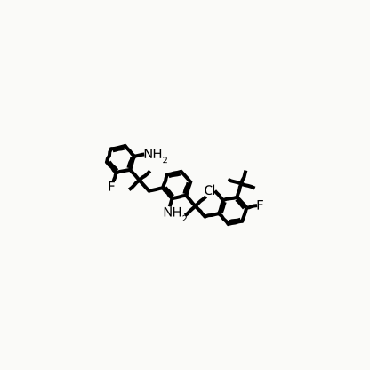 CC(C)(C)c1c(F)ccc(CC(C)(C)c2cccc(CC(C)(C)c3c(N)cccc3F)c2N)c1Cl